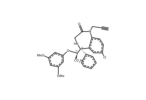 C#CCN1C(=O)CN[C@](c2ccccc2)([C@H](Oc2cc(OC)cc(OC)c2)C(=O)O)c2cc(Cl)ccc21